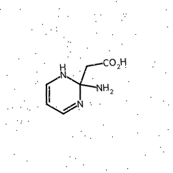 NC1(CC(=O)O)N=CC=CN1